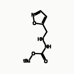 CC(C)(C)OC(=O)NNCc1ccno1